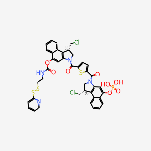 O=C(NCCSSc1ccccn1)Oc1cc2c(c3ccccc13)[C@H](CCl)CN2C(=O)c1ccc(C(=O)N2C[C@@H](CCl)c3c2cc(OP(=O)(O)O)c2ccccc32)s1